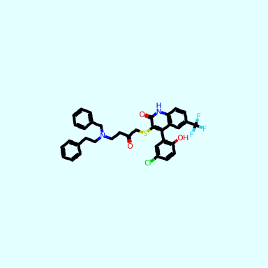 O=C(CCN(CCc1ccccc1)Cc1ccccc1)CSc1c(-c2cc(Cl)ccc2O)c2cc(C(F)(F)F)ccc2[nH]c1=O